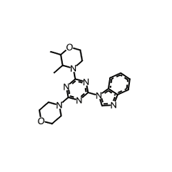 CC1OCCN(c2nc(N3CCOCC3)nc(-n3cnc4ccccc43)n2)C1C